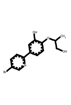 CC(CO)Oc1ccc(-c2ccc(Br)cn2)cc1O